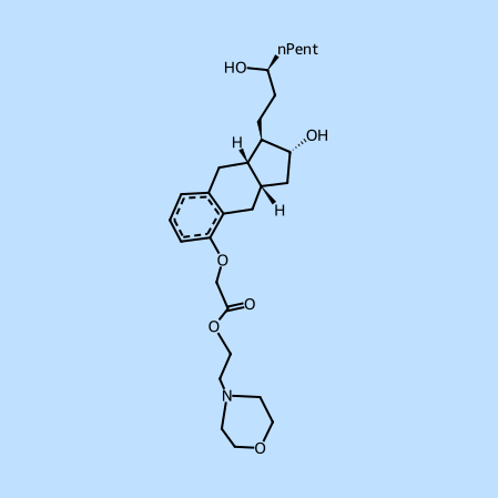 CCCCC[C@H](O)CC[C@@H]1[C@H]2Cc3cccc(OCC(=O)OCCN4CCOCC4)c3C[C@H]2C[C@H]1O